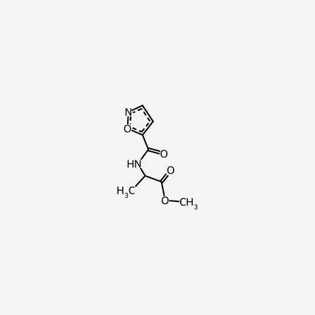 COC(=O)C(C)NC(=O)c1ccno1